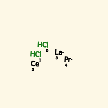 Cl.Cl.[Ce].[La].[Pr]